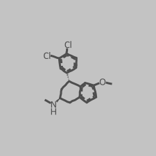 CN[C@@H]1Cc2ccc(OC)cc2[C@@H](c2ccc(Cl)c(Cl)c2)C1